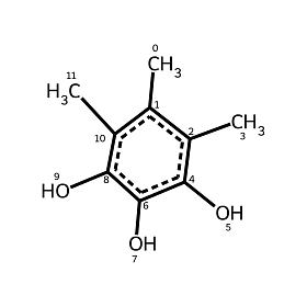 Cc1c(C)c(O)c(O)c(O)c1C